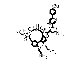 Cc1cc(-c2ccc(C(C)(C)C)cc2)ncc1C(=O)N[C@@H](CCN)C(=O)N(C)[C@@H]1C(=O)N[C@@H](C)C(=O)N[C@H](C(=O)NCC#N)Cc2ccc(OCCN)c(c2)-c2cc1ccc2OCCN